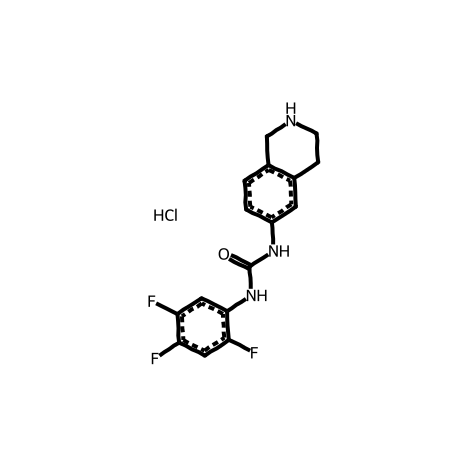 Cl.O=C(Nc1ccc2c(c1)CCNC2)Nc1cc(F)c(F)cc1F